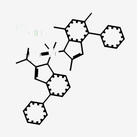 CC1=Cc2c(-c3ccccc3)c(C)cc(C)c2[CH]1[Zr]([CH3])([CH3])(=[SiH2])[CH]1C(C(C)C)=Cc2c(-c3ccccc3)cccc21.Cl.Cl